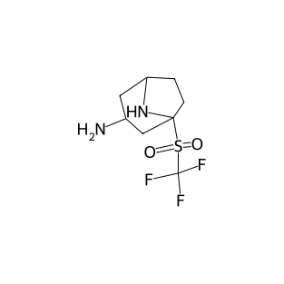 NC1CC2CCC(S(=O)(=O)C(F)(F)F)(C1)N2